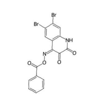 O=C1Nc2cc(Br)c(Br)cc2C(=NOC(=O)c2ccccc2)C1=O